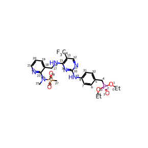 CCOP(=O)(Cc1ccc(Nc2ncc(C(F)(F)F)c(NCc3cccnc3N(C)S(C)(=O)=O)n2)cc1)OCC